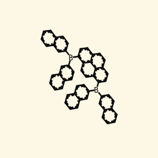 c1ccc2cc(B(c3ccc4ccccc4c3)c3ccc4ccc5ccc(B(c6ccc7ccccc7c6)c6ccc7ccccc7c6)c6ccc3c4c56)ccc2c1